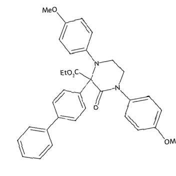 CCOC(=O)C1(c2ccc(-c3ccccc3)cc2)C(=O)N(c2ccc(OC)cc2)CCN1c1ccc(OC)cc1